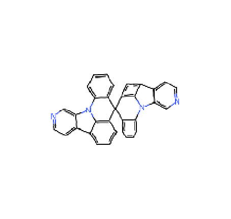 c1ccc2c(c1)-n1c3cnccc3c3cccc(c31)C21c2ccccc2-n2c3cnccc3c3cccc1c32